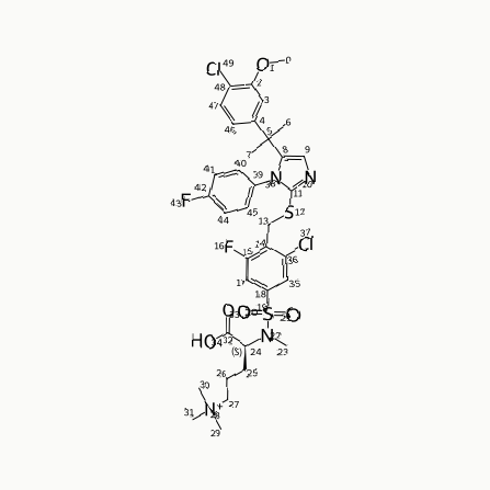 COc1cc(C(C)(C)c2cnc(SCc3c(F)cc(S(=O)(=O)N(C)[C@@H](CCC[N+](C)(C)C)C(=O)O)cc3Cl)n2-c2ccc(F)cc2)ccc1Cl